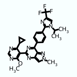 COc1ncnc(C2CC2)c1-c1nc(-c2ccc(-c3nc(C(F)(F)F)cn3C(C)C)cc2)c2nn(C)cc2n1